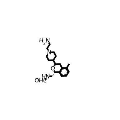 Cc1cccc2c1CC(C1CCN(CCN)CC1)O[C@H]2CNC=O